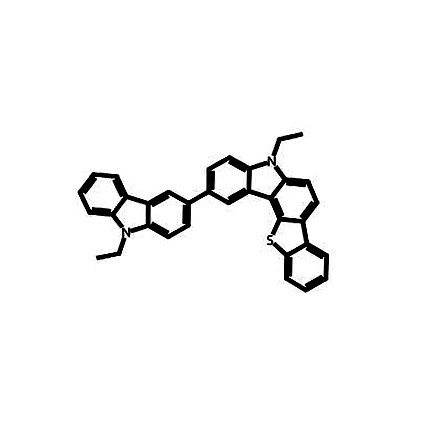 CCn1c2ccccc2c2cc(-c3ccc4c(c3)c3c5sc6ccccc6c5ccc3n4CC)ccc21